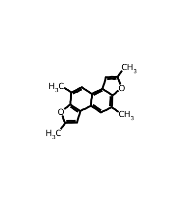 Cc1cc2c(o1)c(C)cc1c3cc(C)oc3c(C)cc21